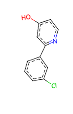 Oc1ccnc(-c2cccc(Cl)c2)c1